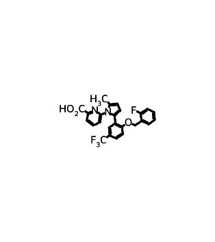 Cc1ccc(-c2cc(C(F)(F)F)ccc2OCc2ccccc2F)n1-c1cccc(C(=O)O)n1